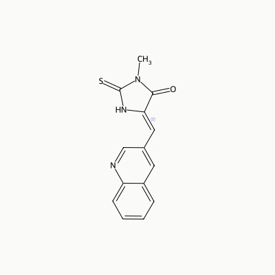 CN1C(=O)/C(=C/c2cnc3ccccc3c2)NC1=S